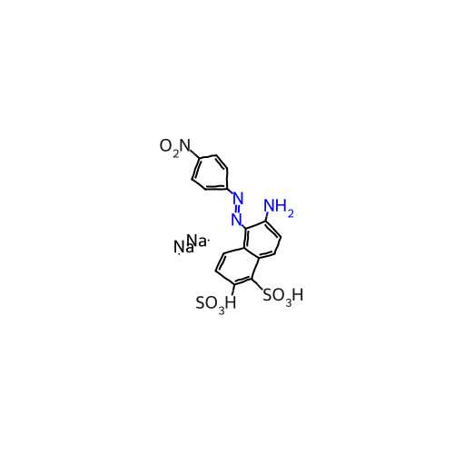 Nc1ccc2c(S(=O)(=O)O)c(S(=O)(=O)O)ccc2c1N=Nc1ccc([N+](=O)[O-])cc1.[Na].[Na]